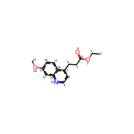 CCOC(=O)CCc1ccnc2cc(OC)ccc12